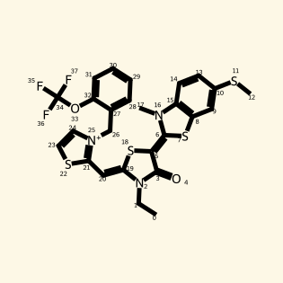 CCn1c(=O)/c(=C2\Sc3cc(SC)ccc3N2C)s/c1=C\c1scc[n+]1Cc1ccccc1OC(F)(F)F